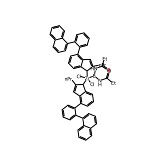 CCCC1=Cc2c(-c3ccccc3-c3cccc4ccccc34)cccc2[CH]1[Zr]([Cl])([Cl])([B](NC(=O)CC)NC(=O)CC)[CH]1C(CCC)=Cc2c(-c3ccccc3-c3cccc4ccccc34)cccc21